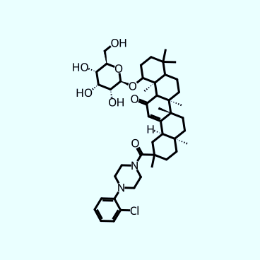 CC1(C(=O)N2CCN(c3ccccc3Cl)CC2)CC[C@]2(C)CC[C@]3(C)C(=CC(=O)C4[C@@]5(C)C(O[C@@H]6O[C@H](CO)[C@@H](O)[C@@H](O)[C@H]6O)CCC(C)(C)C5CC[C@]43C)[C@@H]2C1